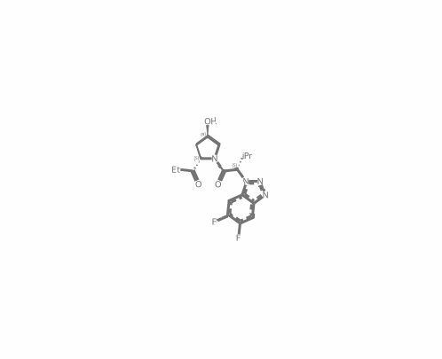 CCC(=O)[C@@H]1C[C@@H](O)CN1C(=O)[C@H](C(C)C)n1nnc2cc(F)c(F)cc21